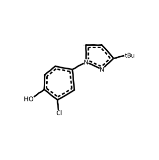 CC(C)(C)c1c[c]n(-c2ccc(O)c(Cl)c2)n1